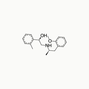 COc1ccccc1C[C@@H](C)NC[C@H](O)c1ccccc1C